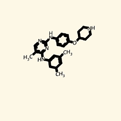 CC1=CC(C)CC(Nc2nc(Nc3ccc(OC4CCNCC4)cc3)ncc2C)=C1